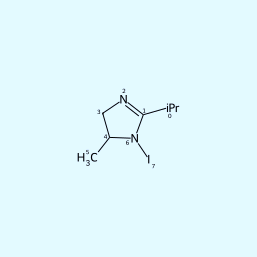 CC(C)C1=NCC(C)N1I